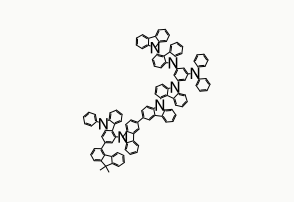 CC1(C)c2ccccc2-c2c(-c3cc(-n4c5ccccc5c5cc(-c6ccc7c(c6)c6ccccc6n7-c6cccc7c6c6ccccc6n7-c6cc(N(c7ccccc7)c7ccccc7)cc(-n7c8ccccc8c8c(-n9c%10ccccc%10c%10ccccc%109)cccc87)c6)ccc54)c4c5ccccc5n(-c5ccccc5)c4c3)cccc21